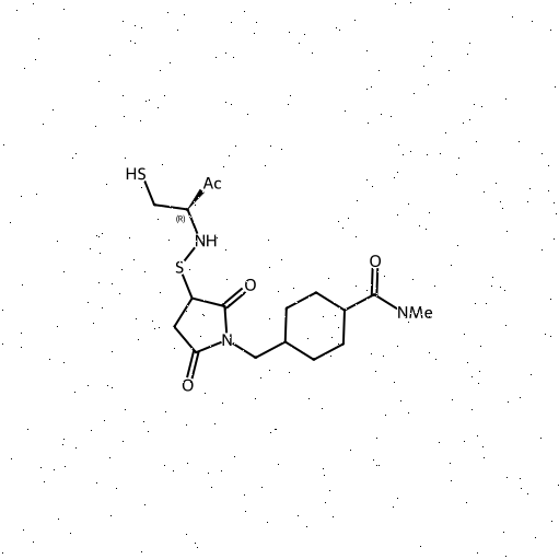 CNC(=O)C1CCC(CN2C(=O)CC(SN[C@@H](CS)C(C)=O)C2=O)CC1